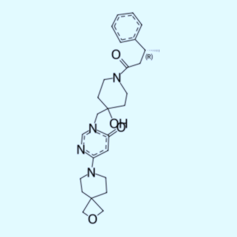 C[C@H](CC(=O)N1CCC(O)(Cn2cnc(N3CCC4(CC3)COC4)cc2=O)CC1)c1ccccc1